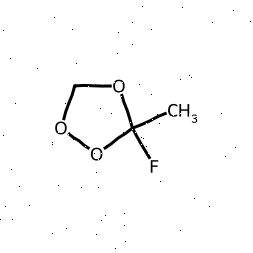 CC1(F)OCOO1